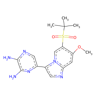 COc1cc2ncc(-c3cnc(N)c(N)n3)n2cc1S(=O)(=O)C(C)(C)C